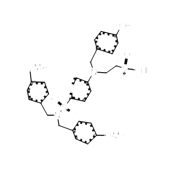 COc1ccc(CN(Cc2ccc(OC)cc2)S(=O)(=O)c2ccc(N(CCS(C)(=O)=O)Cc3ccc(C)cc3)cc2)cc1